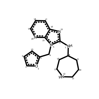 c1coc(Cn2c(NC3CCCNCC3)nc3cccnc32)c1